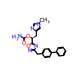 Cn1cnc(C[C@H](OC(N)=O)c2nc(Cc3ccc(-c4ccccc4)cc3)no2)c1